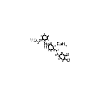 O=C(O)c1ccccc1Nc1ccc(CCc2ccc(Cl)c(Cl)c2)cc1.[CaH2]